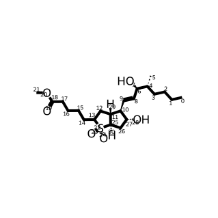 CCCC[C@@H](C)[C@H](O)/C=C/[C@@H]1[C@H]2CC(CCCCC(=O)OC)S(=O)(=O)[C@@H]2C[C@H]1O